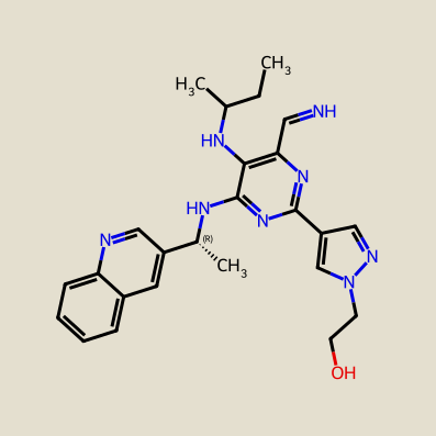 CCC(C)Nc1c(C=N)nc(-c2cnn(CCO)c2)nc1N[C@H](C)c1cnc2ccccc2c1